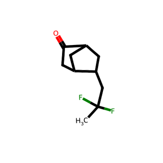 CC(F)(F)CC1CC2CC1CC2=O